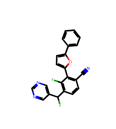 N#Cc1ccc(C(F)c2cncnc2)c(F)c1-c1ccc(-c2ccccc2)o1